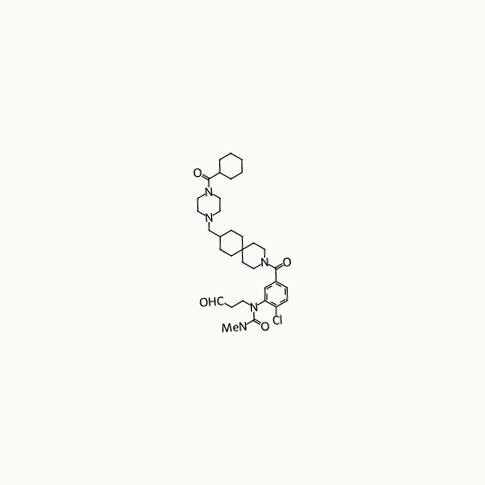 CNC(=O)N(CCC=O)c1cc(C(=O)N2CCC3(CCC(CN4CCN(C(=O)C5CCCCC5)CC4)CC3)CC2)ccc1Cl